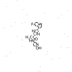 CC(C(=O)Nc1ccc(O)nc1)[C@H]1C[C@H]2CC(c3ccnc4ccc(F)cc34)C[C@H]2C1